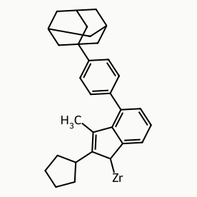 CC1=C(C2CCCC2)[CH]([Zr])c2cccc(-c3ccc(C45CC6CC(CC(C6)C4)C5)cc3)c21